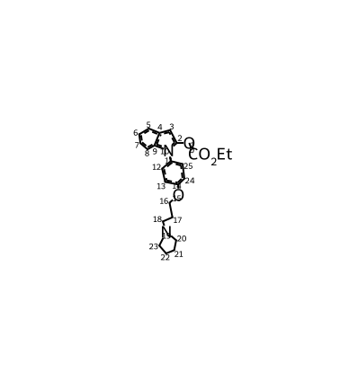 CCOC(=O)Oc1cc2ccccc2n1-c1ccc(OCCCN2CCCC2)cc1